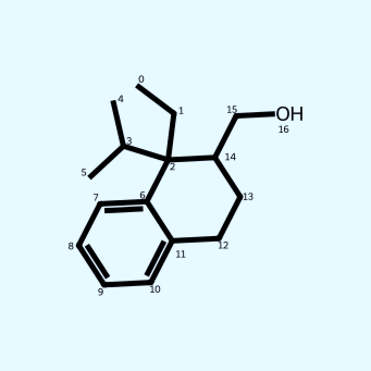 CCC1(C(C)C)c2ccccc2CCC1CO